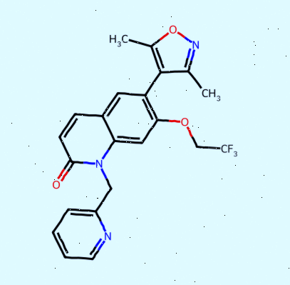 Cc1noc(C)c1-c1cc2ccc(=O)n(Cc3ccccn3)c2cc1OCC(F)(F)F